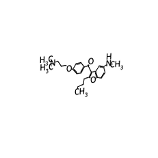 CCCCc1oc2ccc(NC)cc2c1C(=O)c1ccc(OCCCN(C)C)cc1